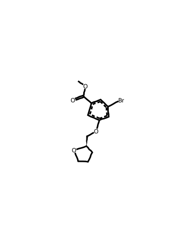 COC(=O)c1cc(Br)cc(OC[C@H]2CCCO2)c1